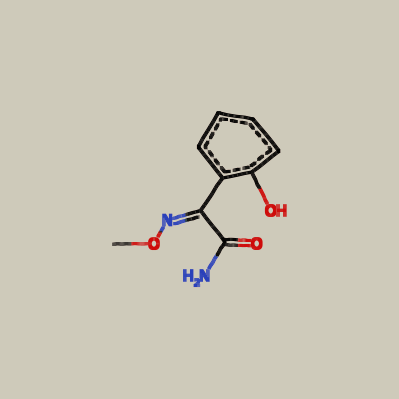 CO/N=C(\C(N)=O)c1ccccc1O